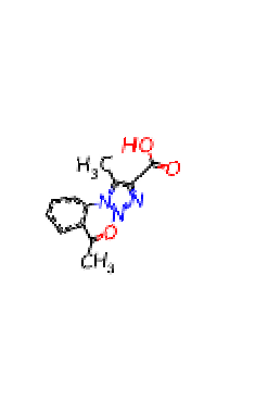 CC(=O)c1ccccc1-n1nnc(C(=O)O)c1C